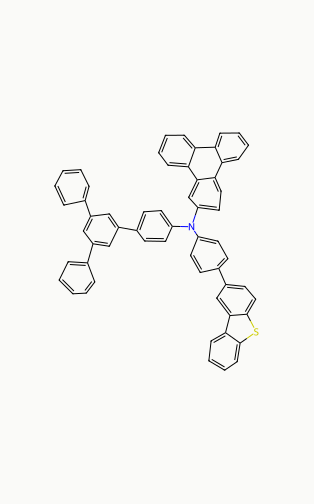 c1ccc(-c2cc(-c3ccccc3)cc(-c3ccc(N(c4ccc(-c5ccc6sc7ccccc7c6c5)cc4)c4ccc5c6ccccc6c6ccccc6c5c4)cc3)c2)cc1